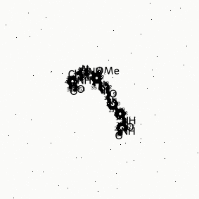 COc1cc(N2CCN(C(=O)CN3CCC(c4ccc(NC5CCC(=O)NC5=O)cc4)CC3)CC2)c(C)cc1Nc1ncc(Cl)c(Nc2cccc3c2C(=O)OC3)n1